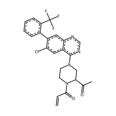 C=CC(=O)N1CCN(c2ncnc3cc(-c4ccccc4C(F)(F)F)c(Cl)cc23)CC1C(C)=O